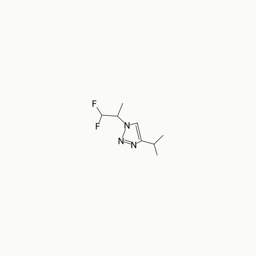 CC(C)c1cn(C(C)C(F)F)nn1